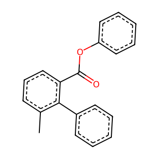 Cc1cccc(C(=O)Oc2ccccc2)c1-c1ccccc1